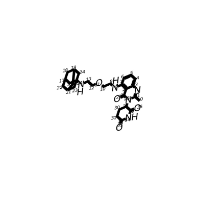 Cc1nc2cccc(NCCOCCNC34CC5CC(CC(C5)C3)C4)c2c(=O)n1C1CCC(=O)NC1=O